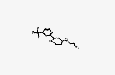 NCCNC1CCNC(c2nccc(C(F)(F)F)n2)C1